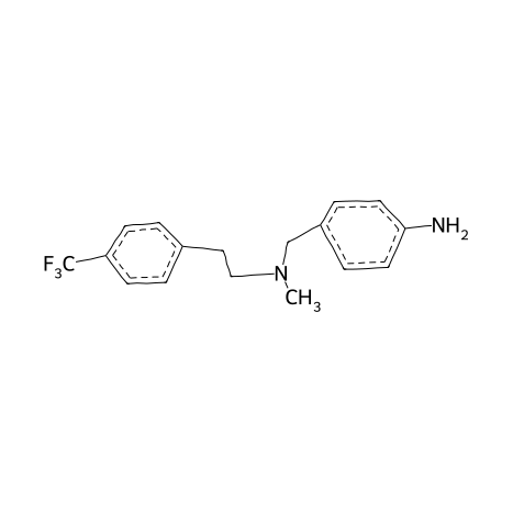 CN(CCc1ccc(C(F)(F)F)cc1)Cc1ccc(N)cc1